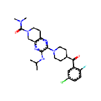 CC(C)Nc1nc2c(nc1N1CCC(C(=O)c3cc(Cl)ccc3F)CC1)CCN(C(=O)N(C)C)C2